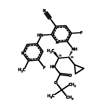 Cc1ncc(Nc2nc(N[C@H](C3CC3)[C@H](C)NC(=O)OC(C)(C)C)c(F)cc2C#N)cc1F